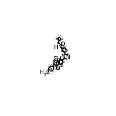 COc1cc(-c2cncc(-c3cc(NC(=O)CC4CCC4)cs3)n2)ccc1C(=O)N(C)C1CCN(C)CC1